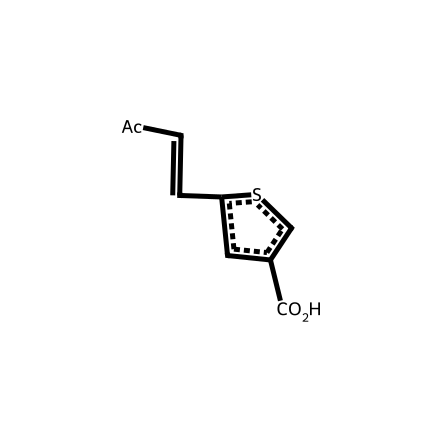 CC(=O)/C=C/c1cc(C(=O)O)cs1